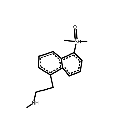 CNCCc1cccc2c([SH](C)(C)=O)cccc12